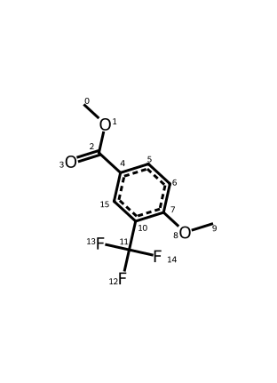 COC(=O)c1ccc(OC)c(C(F)(F)F)c1